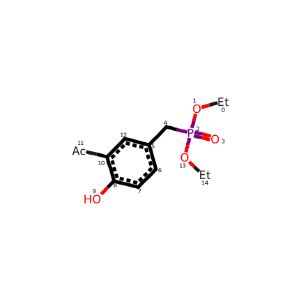 CCOP(=O)(Cc1ccc(O)c(C(C)=O)c1)OCC